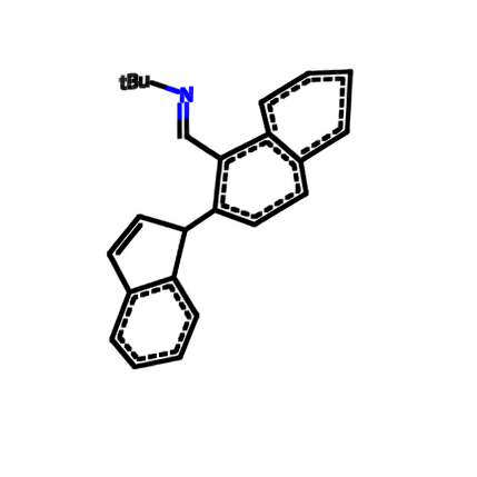 CC(C)(C)/N=C/c1c(C2C=Cc3ccccc32)ccc2ccccc12